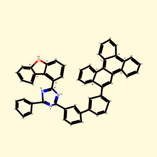 c1ccc(-c2nc(-c3cccc(-c4cccc(-c5cc6c7ccccc7c7ccccc7c6c6ccccc56)c4)c3)nc(-c3cccc4oc5ccccc5c34)n2)cc1